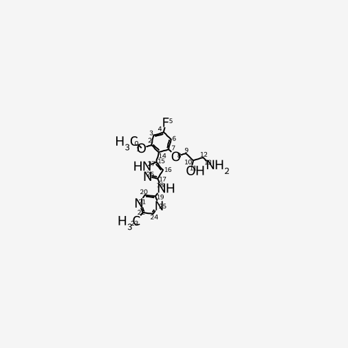 COc1cc(F)cc(OCC(O)CN)c1-c1cc(Nc2cnc(C)cn2)n[nH]1